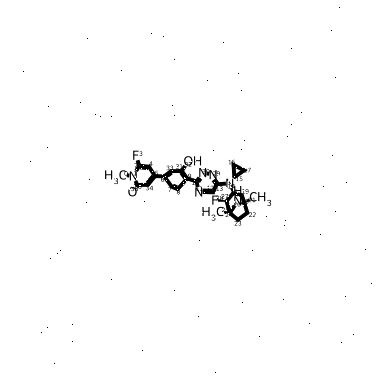 Cn1c(F)cc(-c2ccc(-c3ncc(N(C4CC4)[C@H]4C[C@]5(C)CC[C@@](C)(N5)[C@H]4F)nn3)c(O)c2)cc1=O